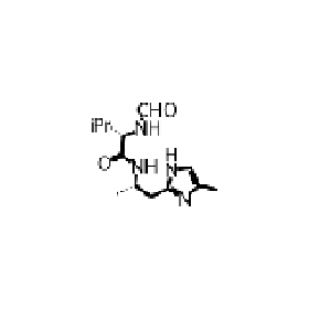 Cc1c[nH]c(C[C@H](C)NC(=O)[C@@H](NC=O)C(C)C)n1